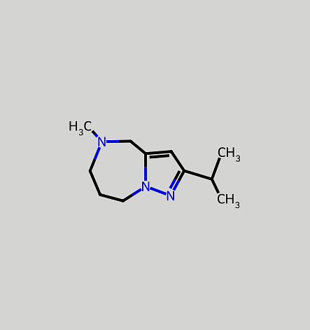 CC(C)c1cc2n(n1)CCCN(C)C2